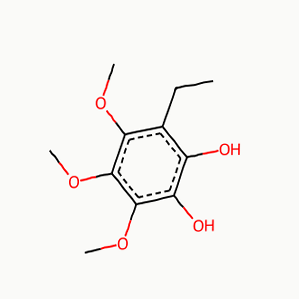 CCc1c(O)c(O)c(OC)c(OC)c1OC